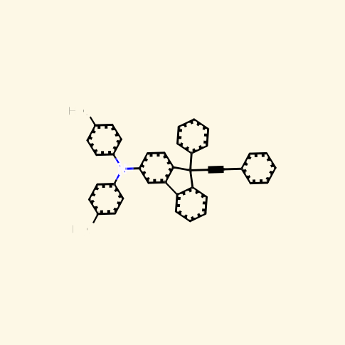 Cc1ccc(N(c2ccc(C)cc2)c2ccc3c(c2)-c2ccccc2C3(C#Cc2ccccc2)c2ccccc2)cc1